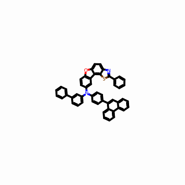 c1ccc(-c2cccc(N(c3ccc(-c4cc5ccccc5c5ccccc45)cc3)c3ccc4oc5ccc6nc(-c7ccccc7)sc6c5c4c3)c2)cc1